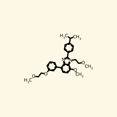 COCCOc1cccc(-c2ccc(OC)c3c2nc(-c2ccc(C(C)C)cc2)n3CCOC)c1